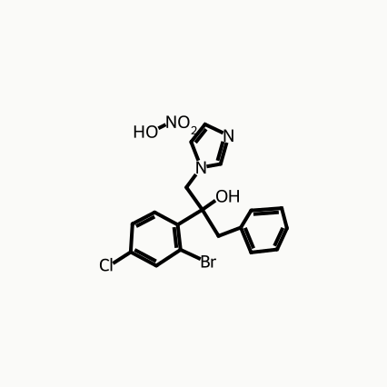 O=[N+]([O-])O.OC(Cc1ccccc1)(Cn1ccnc1)c1ccc(Cl)cc1Br